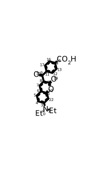 CCN(CC)c1ccc2cc(C(=O)c3ccc(C(=O)O)cc3)c(=O)oc2c1